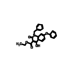 CCOC(=O)c1c(O)c2ccc(Oc3ccccc3)cc2n(Cc2ccccc2)c1=O